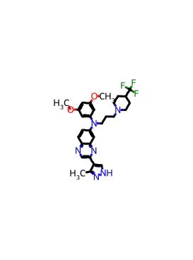 COc1cc(OC)cc(N(CCCN2CCC(C(F)(F)F)CC2)c2ccc3ncc(-c4c[nH]nc4C)nc3c2)c1